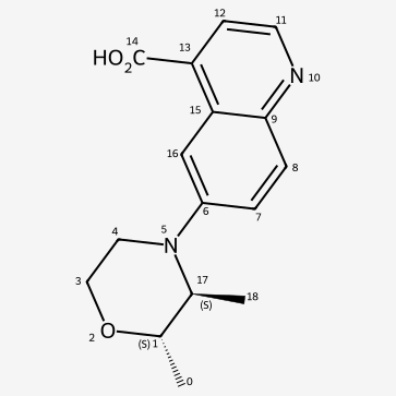 C[C@@H]1OCCN(c2ccc3nccc(C(=O)O)c3c2)[C@H]1C